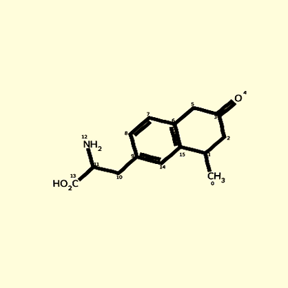 CC1CC(=O)Cc2ccc(CC(N)C(=O)O)cc21